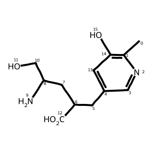 Cc1ncc(CC(CC(N)CO)C(=O)O)cc1O